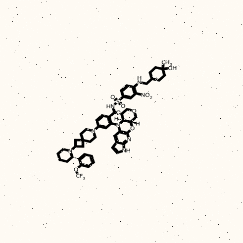 CC1(O)CCC(CNc2ccc(S(=O)(=O)NC(=O)c3ccc(N4CCC5(CC4)CC(N4CCCC[C@H]4c4ccccc4OC(F)(F)F)C5)cc3N3c4cc5cc[nH]c5nc4O[C@H]4COCC[C@@H]43)cc2[N+](=O)[O-])CC1